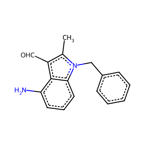 Cc1c(C=O)c2c(N)cccc2n1Cc1ccccc1